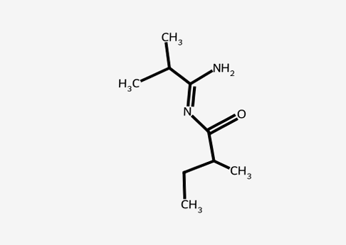 CCC(C)C(=O)/N=C(\N)C(C)C